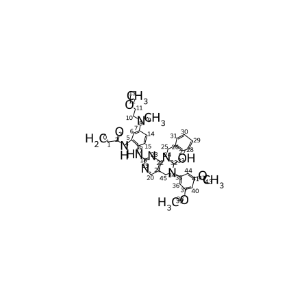 C=CC(=O)Nc1cc(N(C)CCOC)ccc1Nc1ncc2c(n1)N(Cc1ccccc1)C(O)N(c1cc(OC)cc(OC)c1)C2